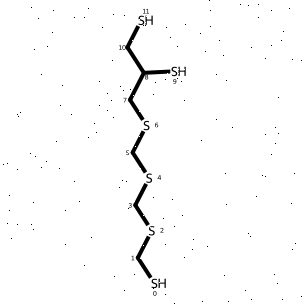 SCSCSCSCC(S)CS